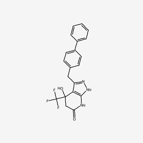 O=C1CC(O)(C(F)(F)F)c2c(Cc3ccc(-c4ccccc4)cc3)n[nH]c2N1